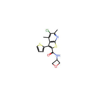 Cc1nc2sc(C(=O)NC3COC3)c(-c3cccs3)c2c(C)c1Cl